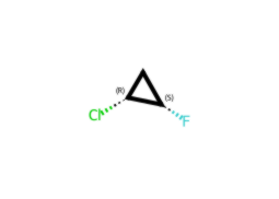 F[C@H]1C[C@H]1Cl